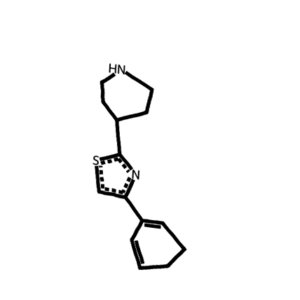 C1=CC(c2csc(C3CCNCC3)n2)=CCC1